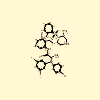 C[C@H]1CNC[C@H](CCc2c(F)cncc2NC(=O)[C@@H](N)[C@@H](c2ccc(F)cc2)c2cc(F)cc(F)c2)N1S(=O)(=O)c1ccccc1Cl